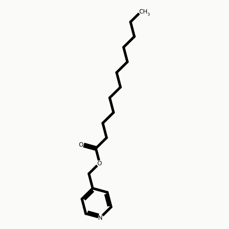 CCCCCCCCCCCC(=O)OCc1ccncc1